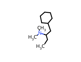 CCC(CC1CCCCC1)N(C)C